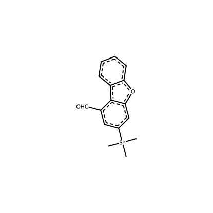 [CH3][Sn]([CH3])([CH3])[c]1cc(C=O)c2c(c1)oc1ccccc12